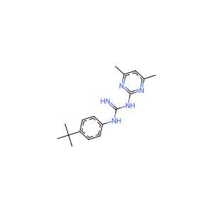 Cc1cc(C)nc(NC(=N)Nc2ccc(C(C)(C)C)cc2)n1